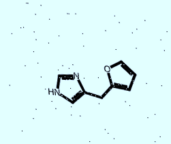 c1coc(Cc2c[nH]cn2)c1